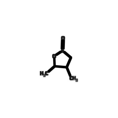 CC1CS(=O)OC1C